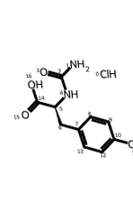 Cl.NC(=O)N[C@@H](Cc1ccc(O)cc1)C(=O)O